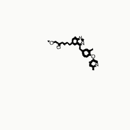 COCC(=O)CCCCc1ccc2ncnc(Cc3ccc(Oc4ccc(C)nc4)c(C)c3)c2c1